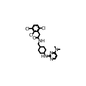 CN(C)c1ccnc(NC2CCC(CNC(=O)Cc3c(Cl)ccc(Cl)c3Cl)CC2)n1